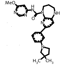 COc1cc(NC(=O)N2CCCNc3ccc(-c4cccc(N5CCC(C)(C)C5)c4)nc32)ncn1